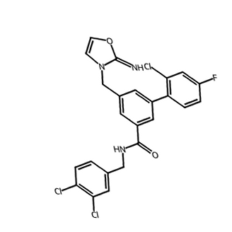 N=c1occn1Cc1cc(C(=O)NCc2ccc(Cl)c(Cl)c2)cc(-c2ccc(F)cc2Cl)c1